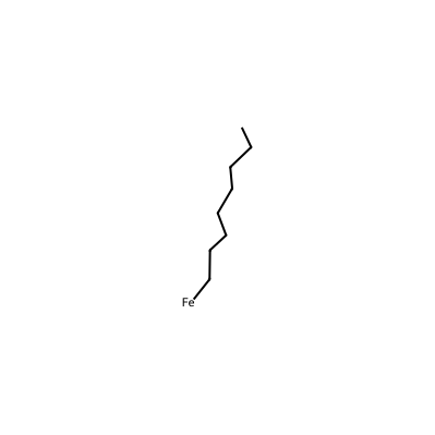 CCCCCCC[CH2][Fe]